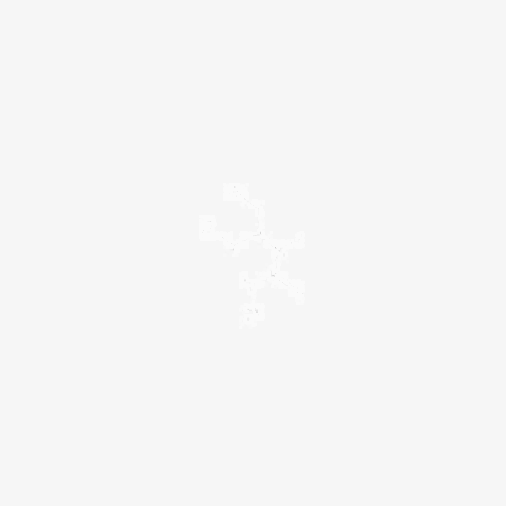 CN(C(=O)OC(C)(C)C)C(CO)CO